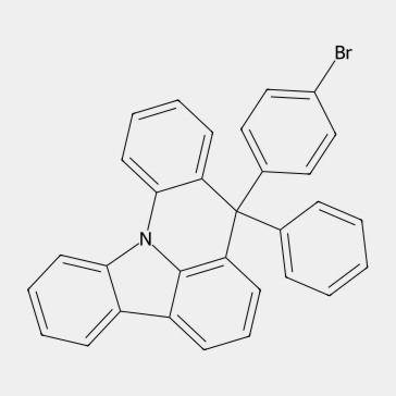 Brc1ccc(C2(c3ccccc3)c3ccccc3-n3c4ccccc4c4cccc2c43)cc1